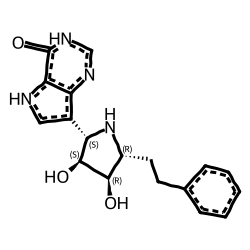 O=c1[nH]cnc2c([C@@H]3N[C@H](CCc4ccccc4)[C@@H](O)[C@H]3O)c[nH]c12